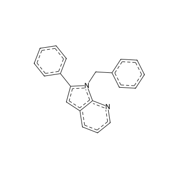 c1ccc(Cn2c(-c3ccccc3)cc3cccnc32)cc1